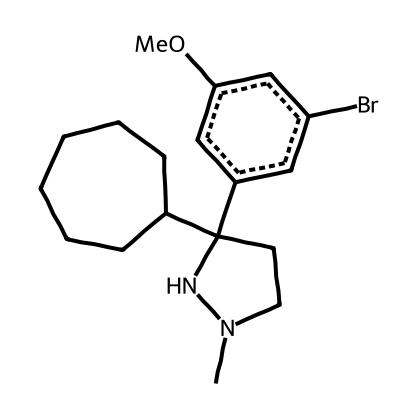 COc1cc(Br)cc(C2(C3CCCCCC3)CCN(C)N2)c1